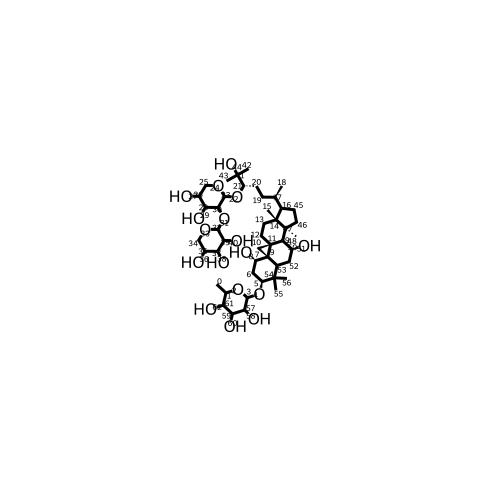 CC1OC(O[C@H]2C[C@H](O)[C@]34C[C@]35CC[C@]3(C)C([C@H](C)CC[C@H](OC6OCC(O)C(O)C6OC6OCC(O)C(O)C6O)C(C)(C)O)CC[C@@]3(C)C5[C@@H](O)CC4C2(C)C)C(O)C(O)C1O